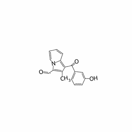 Cc1c(C(=O)c2cccc(O)c2)c2ccccn2c1[C]=O